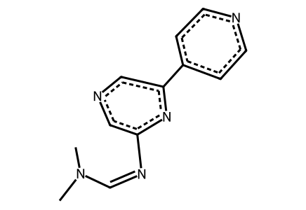 CN(C)/C=N\c1cncc(-c2ccncc2)n1